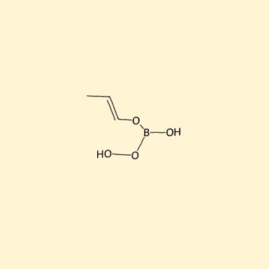 CC=COB(O)OO